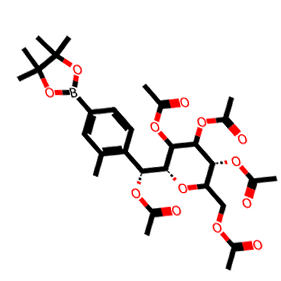 CC(=O)OCC1O[C@H]([C@H](OC(C)=O)c2ccc(B3OC(C)(C)C(C)(C)O3)cc2C)C(OC(C)=O)C(OC(C)=O)[C@@H]1OC(C)=O